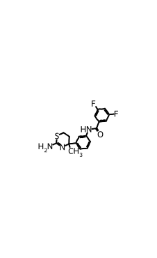 CC1(c2cccc(NC(=O)c3cc(F)cc(F)c3)c2)CCSC(N)=N1